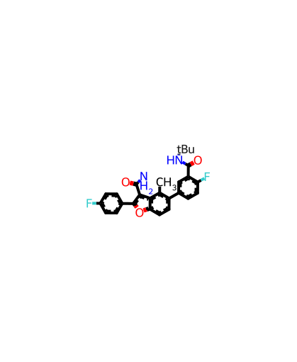 Cc1c(-c2ccc(F)c(C(=O)NC(C)(C)C)c2)ccc2oc(-c3ccc(F)cc3)c(C(N)=O)c12